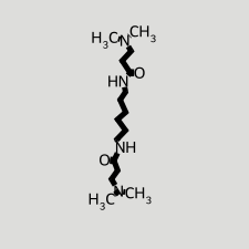 CN(C)CCC(=O)NCCCCCCNC(=O)CCN(C)C